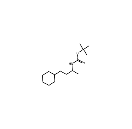 CC(CCC1CCCCC1)NC(=O)OC(C)(C)C